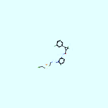 C[C@H](CS(=O)(=O)CCC(F)(F)F)NCc1cc(NC(=O)C2C(c3cc(Cl)cc(Cl)c3)C2(Cl)Cl)ccc1Cl